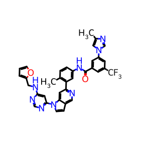 Cc1cn(-c2cc(C(=O)Nc3ccc(C)c(-c4cc5c(ccn5-c5cc(NCc6ccco6)ncn5)cn4)c3)cc(C(F)(F)F)c2)cn1